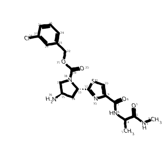 CNC(=O)C(C)NC(=O)c1csc([C@@H]2C[C@@H](N)CN2C(=O)OCc2cccc(Cl)c2)n1